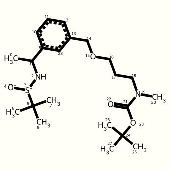 CC(N[S+]([O-])C(C)(C)C)c1cccc(COCCCN(C)C(=O)OC(C)(C)C)c1